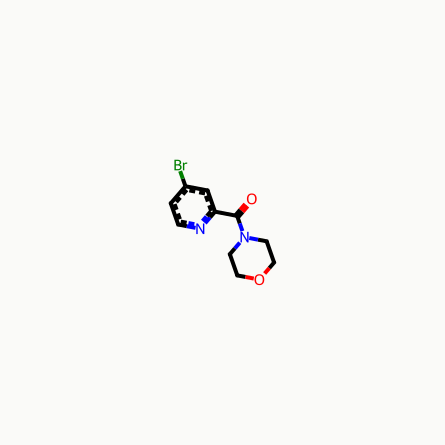 O=C(c1cc(Br)ccn1)N1CCOCC1